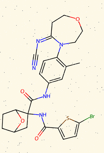 Cc1cc(NC(=O)C2(NC(=O)c3ccc(Br)s3)CC3CCC2O3)ccc1N1CCOCC/C1=N/C#N